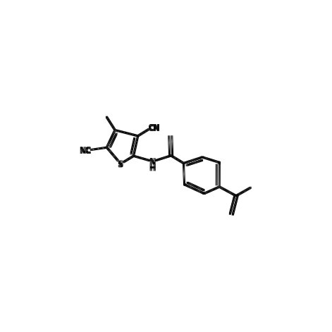 C=C(C)c1ccc(C(=C)Nc2sc(C#N)c(C)c2C#N)cc1